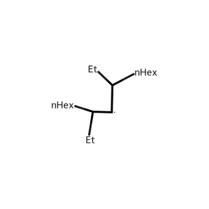 CCCCCCC([CH]C(CC)CCCCCC)CC